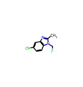 Cc1nc2cc(Cl)ccc2n1CF